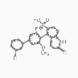 COc1cc(-c2cccc(Cl)c2)cc(F)c1-c1c(S(=O)(=O)O)ccc2[nH]c(=O)ccc12